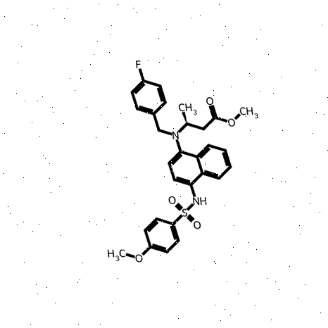 COC(=O)C[C@H](C)N(Cc1ccc(F)cc1)c1ccc(NS(=O)(=O)c2ccc(OC)cc2)c2ccccc12